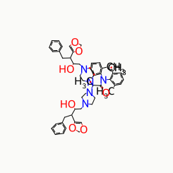 Cc1cccc(C)c1N(C(=O)C(N1CCN(CC(O)C(Cc2ccccc2)C2=COCO2)CC1)N1CCN(CC(O)C(Cc2ccccc2)C2=COCO2)CC1)c1c(C)cccc1C